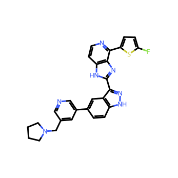 Fc1ccc(-c2nccc3[nH]c(-c4n[nH]c5ccc(-c6cncc(CN7CCCC7)c6)cc45)nc23)s1